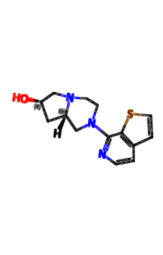 O[C@@H]1C[C@H]2CN(c3nccc4ccsc34)CCN2C1